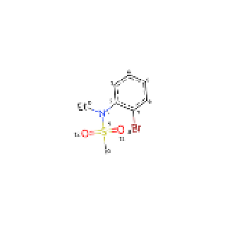 CCN(c1ccccc1Br)S(C)(=O)=O